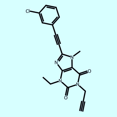 C#CCn1c(=O)c2c(nc(C#Cc3cccc(Cl)c3)n2C)n(CC)c1=O